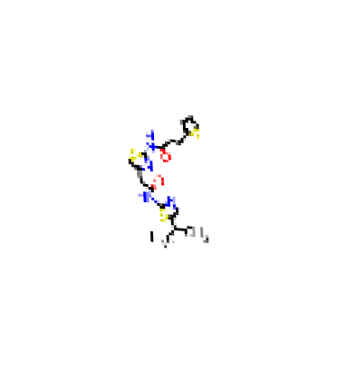 CC(C)c1cnc(NC(=O)Cc2csc(NC(=O)CCc3cccs3)n2)s1